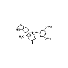 COc1cc(NC23N=CC(C)=C(NO2)N3c2ccc3c(c2)NCO3)cc(OC)c1